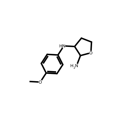 COc1ccc(NC2CCO[C]2N)cc1